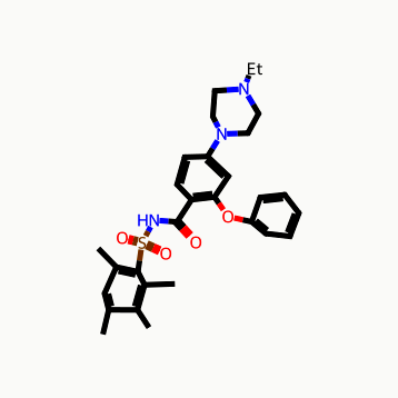 CCN1CCN(c2ccc(C(=O)NS(=O)(=O)c3c(C)cc(C)c(C)c3C)c(Oc3ccccc3)c2)CC1